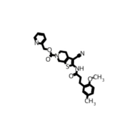 COc1ccc(C)cc1CCC(=O)Nc1sc2c(c1C#N)CCN(C(=O)OCc1ccccn1)C2